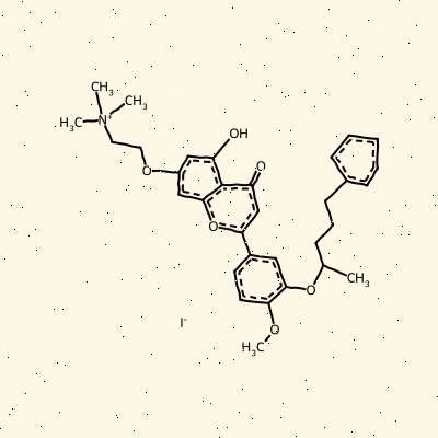 COc1ccc(-c2cc(=O)c3c(O)cc(OCC[N+](C)(C)C)cc3o2)cc1OC(C)CCCc1ccccc1.[I-]